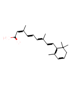 CC1=C(/C=C/C(C)=C/C=C/C(C)=C\C(=O)O)C(C)(C)CC=C1